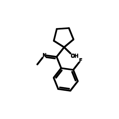 CN=C(c1ccccc1F)C1(O)CCCC1